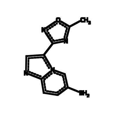 Bc1ccc2ncc(-c3noc(C)n3)n2c1